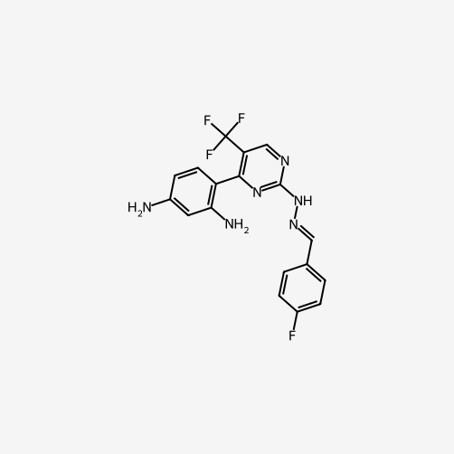 Nc1ccc(-c2nc(NN=Cc3ccc(F)cc3)ncc2C(F)(F)F)c(N)c1